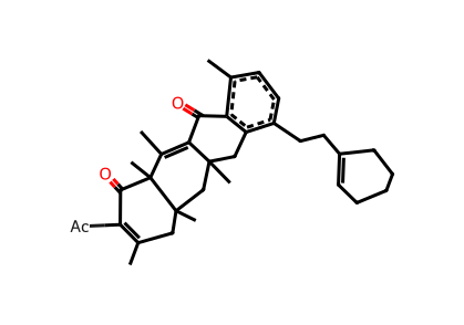 CC(=O)C1=C(C)CC2(C)CC3(C)Cc4c(CCC5=CCCCC5)ccc(C)c4C(=O)C3=C(C)C2(C)C1=O